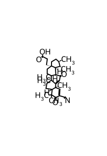 C[C@@H]1[C@H]2[C@H]3C(=O)C=C4[C@@]5(C)C=C(C#N)C(=O)C(C)(C)[C@@H]5CC[C@@]4(C)[C@]3(C)CC[C@@]2(CCC(=O)O)CC[C@H]1C